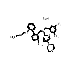 O=C(O)CCCOc1ccccc1-c1ccc(C(F)(F)F)cc1CN(Cc1cc(C(F)(F)F)cc(C(F)(F)F)c1)c1ncc(N2CCOCC2)cn1.[NaH]